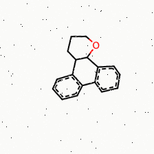 c1ccc2c(c1)-c1ccccc1C1OCCCC21